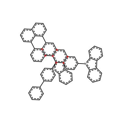 c1ccc(-c2ccc(N(c3ccc(-c4cccc5cccc(-c6cccc(-c7cccc8c7oc7ccccc78)c6)c45)cc3)c3ccc(-n4c5ccccc5c5ccccc54)cc3)cc2)cc1